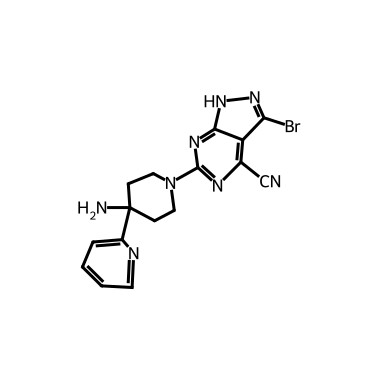 N#Cc1nc(N2CCC(N)(c3ccccn3)CC2)nc2[nH]nc(Br)c12